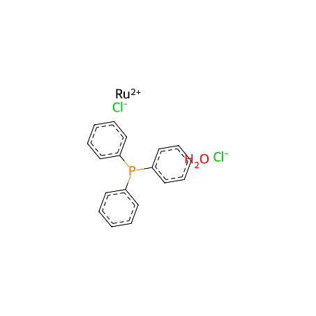 O.[Cl-].[Cl-].[Ru+2].c1ccc(P(c2ccccc2)c2ccccc2)cc1